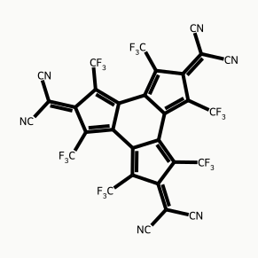 N#CC(C#N)=C1C(C(F)(F)F)=c2c3c(c4c(c2=C1C(F)(F)F)=C(C(F)(F)F)C(=C(C#N)C#N)C=4C(F)(F)F)=C(C(F)(F)F)C(=C(C#N)C#N)C=3C(F)(F)F